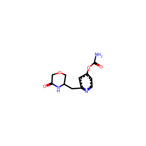 NC(=O)Oc1ccnc(CC2COCC(=O)N2)c1